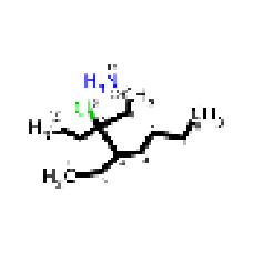 CCCCC(CC)C(Cl)(CC)CC.N